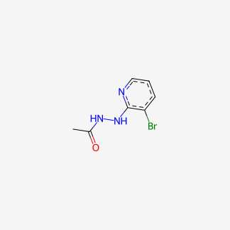 CC(=O)NNc1ncccc1Br